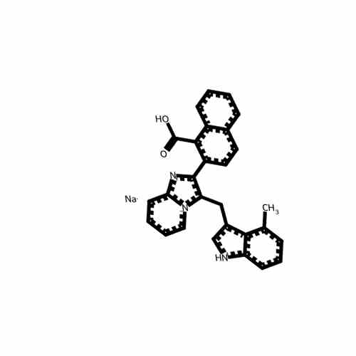 Cc1cccc2[nH]cc(Cc3c(-c4ccc5ccccc5c4C(=O)O)nc4ccccn34)c12.[Na]